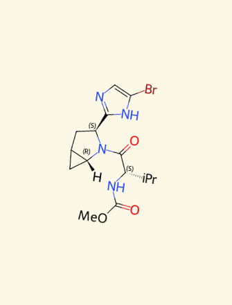 COC(=O)N[C@H](C(=O)N1[C@@H]2CC2C[C@H]1c1ncc(Br)[nH]1)C(C)C